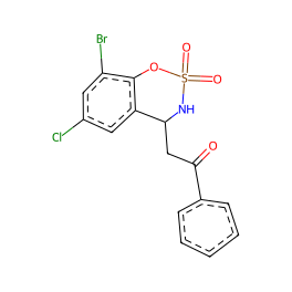 O=C(CC1NS(=O)(=O)Oc2c(Br)cc(Cl)cc21)c1ccccc1